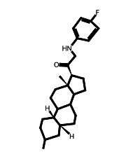 CC1CC[C@@H]2C3CC[C@@]4(C)C(CC[C@@H]4C(=O)CNc4ccc(F)cc4)C3CC[C@@H]2C1